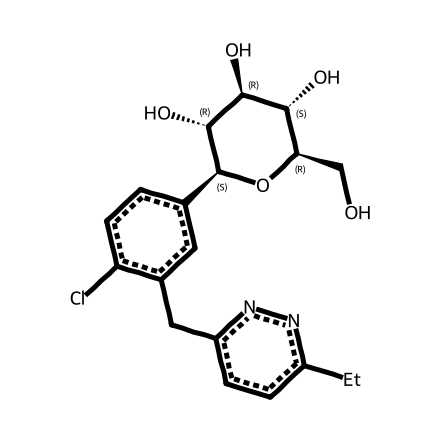 CCc1ccc(Cc2cc([C@@H]3O[C@H](CO)[C@@H](O)[C@H](O)[C@H]3O)ccc2Cl)nn1